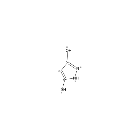 Oc1cc(S)[nH]n1